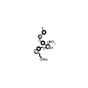 COCCCN1CCOc2ccc(CO[C@H]3CNC[C@@H](O[N+](=O)[O-])[C@@H]3c3ccc(OC4CCN(c5cccc(F)c5)C4)cc3)cc21